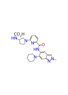 Cn1cc2cc(NC(=O)c3cccc(N4CCC(NC(=O)O)C4)n3)c(N3CCCCC3)cc2n1